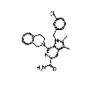 Cc1c(C)n(Cc2cccc(Cl)c2)c2c(N3CCc4ccccc4C3)nc(C(N)=O)cc12